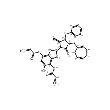 C=CC(=O)Oc1cc(C)c(OC(=O)C=C)c2c1SC(C1C(=N)N(Cc3ccccc3)N(CC3=CC=CC=CC3)C1=O)S2